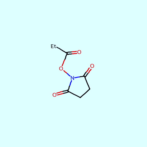 [CH2]CC(=O)ON1C(=O)CCC1=O